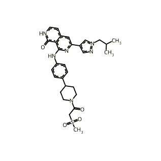 CC(C)Cn1cc(-c2cc3cc[nH]c(=O)c3c(Nc3ccc(C4CCN(C(=O)CS(C)(=O)=O)CC4)cc3)n2)cn1